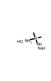 CCC[N+](C)(C)C.Cl.N.[NaH]